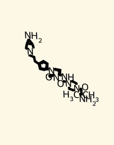 CC(C)(N)C(=O)N1CCN(C(=O)Nc2ccn(-c3ccc(CCCN4CC5C(N)C5C4)cc3)c(=O)n2)CC1